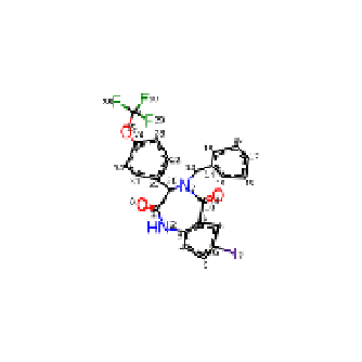 O=C1Nc2ccc(I)cc2C(=O)N(Cc2ccccc2)C1c1ccc(OC(F)(F)F)cc1